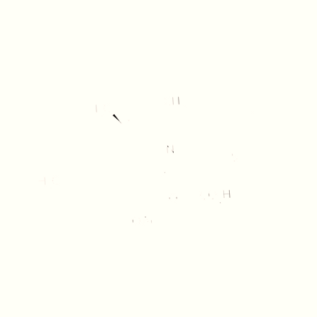 CC(=O)Oc1cc(C)cc2c1C(=O)N(c1cc(-c3ccccc3)sc1C(=O)O)C(C)[C@@H]2C